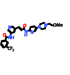 COCCN1CCN(c2ccc(NC(=O)C=Cc3cncc(NC(=O)c4cccc(C(F)(F)F)c4)c3)nc2)CC1